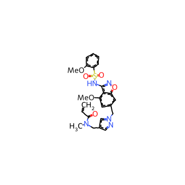 C=CC(=O)N(C)Cc1cnn(Cc2cc(OC)c3c(NS(=O)(=O)c4ccccc4OC)noc3c2)c1